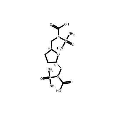 NP(N)(=O)N(C[C@@H]1CC[C@@H](CN(C(=O)O)P(N)(N)=O)O1)C(=O)O